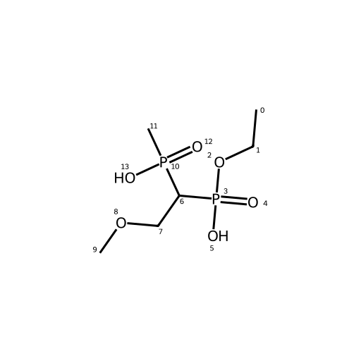 CCOP(=O)(O)C(COC)P(C)(=O)O